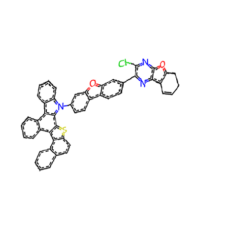 Clc1nc2oc3c(c2nc1-c1ccc2c(c1)oc1cc(-n4c5ccccc5c5c6ccccc6c6c(sc7ccc8ccccc8c76)c54)ccc12)C=CCC3